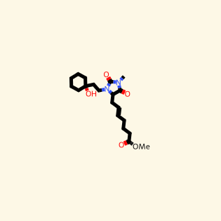 COC(=O)CCCC=CCC1C(=O)N(C)C(=O)N1CCC1(O)CCCCC1